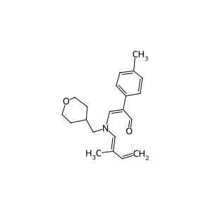 C=C/C(C)=C/N(/C=C(\C=O)c1ccc(C)cc1)CC1CCOCC1